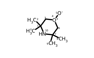 CC1(C)C[O+]([O-])CC(C)(C)N1